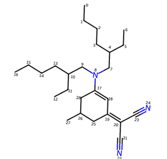 CCCCC(CC)CN(CC(CC)CCCC)C1=CC(=C(C#N)C#N)CC(C)C1